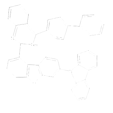 C1=C(C2N=c3ccccc3=C(c3ccc(-c4ccccc4)cc3)N2)c2c(oc3cc(-n4c5ccccc5c5ccccc54)ccc23)CC1